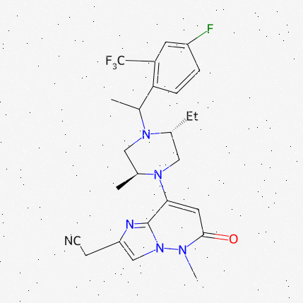 CC[C@@H]1CN(c2cc(=O)n(C)n3cc(CC#N)nc23)[C@@H](C)CN1C(C)c1ccc(F)cc1C(F)(F)F